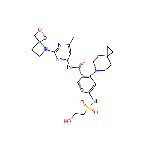 Cc1cc(NC(=O)c2ccc(NS(=O)(=O)CCO)cc2N2CCC3(CC2)CC3)nc(N2CCC23COC3)n1